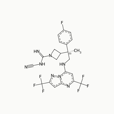 C[C@@](CNc1cc(C(F)(F)F)nc2cc(C(F)(F)F)nn12)(c1ccc(F)cc1)C1CN(C(=N)NC#N)C1